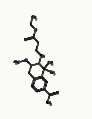 CCOC(=O)CCNC1C(OC)Cc2ccc(C(N)=O)cc2C1(C)C